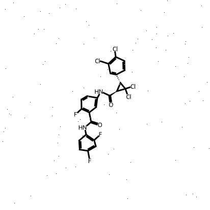 O=C(Nc1ccc(F)cc1F)c1cc(NC(=O)[C@H]2[C@H](c3ccc(Cl)c(Cl)c3)C2(Cl)Cl)ccc1F